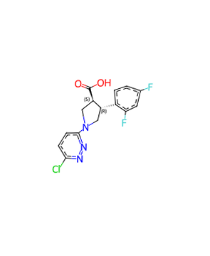 O=C(O)[C@@H]1CN(c2ccc(Cl)nn2)C[C@H]1c1ccc(F)cc1F